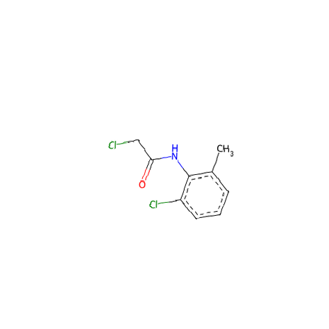 Cc1cccc(Cl)c1NC(=O)CCl